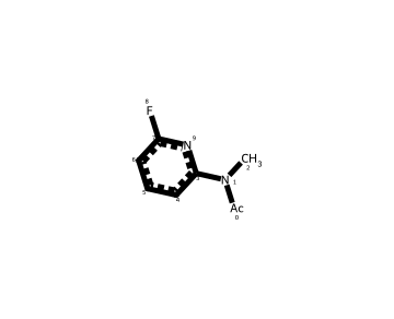 CC(=O)N(C)c1cccc(F)n1